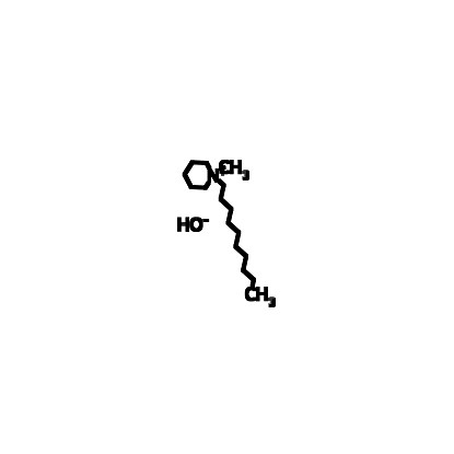 CCCCCCCCCC[N+]1(C)CCCCC1.[OH-]